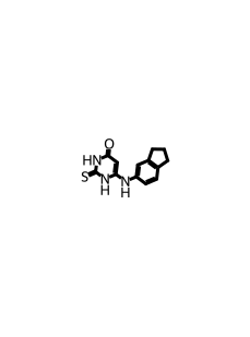 O=c1cc(Nc2ccc3c(c2)CCC3)[nH]c(=S)[nH]1